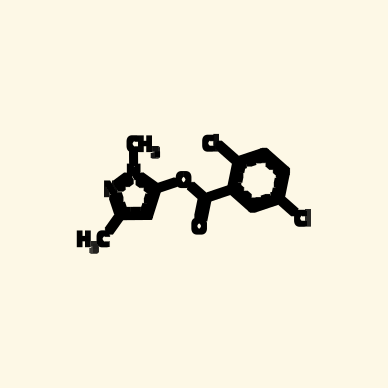 Cc1cc(OC(=O)c2cc(Cl)ccc2Cl)n(C)n1